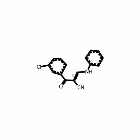 N#C/C(=C\Nc1ccccc1)C(=O)c1cccc(Cl)c1